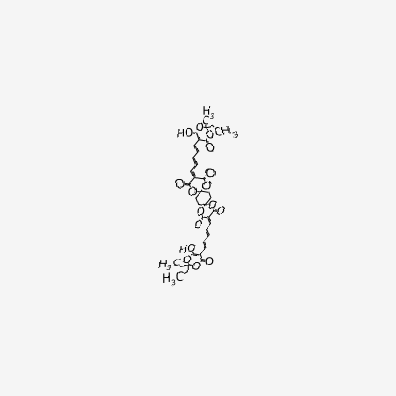 CCC1(C)OC(=O)C(/C=C/C=C/C=C2C(=O)OC3(CCC4(CC3)OC(=O)C(=C/C=C/C=C/C3=C(O)OC(CC)(CC)OC3=O)C(=O)O4)OC2=O)=C(O)O1